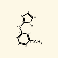 Nc1cccc(Sc2cccs2)c1